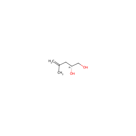 C=C(C)C[C@@H](O)CO